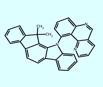 CC1(C)c2ccccc2-c2ccc3c4ccccc4n(-c4cccc5ncc6cccnc6c45)c3c21